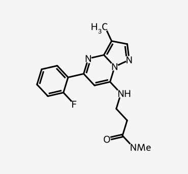 CNC(=O)CCNc1cc(-c2ccccc2F)nc2c(C)cnn12